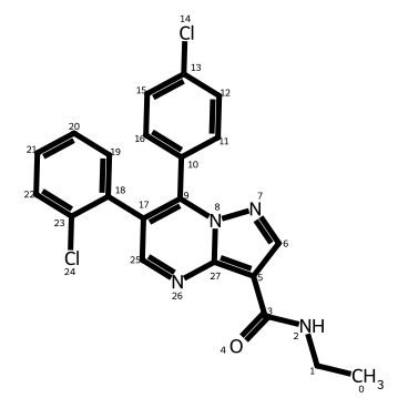 CCNC(=O)c1cnn2c(-c3ccc(Cl)cc3)c(-c3ccccc3Cl)cnc12